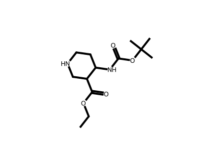 CCOC(=O)C1CNCCC1NC(=O)OC(C)(C)C